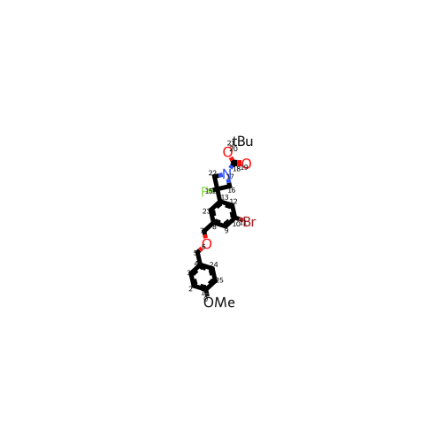 COc1ccc(COCc2cc(Br)cc(C3(F)CN(C(=O)OC(C)(C)C)C3)c2)cc1